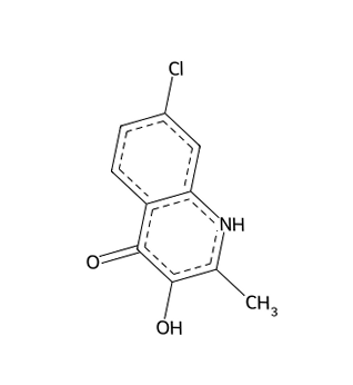 Cc1[nH]c2cc(Cl)ccc2c(=O)c1O